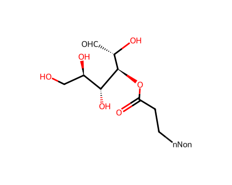 CCCCCCCCCCCC(=O)O[C@@H]([C@H](O)[C@H](O)CO)[C@@H](O)C=O